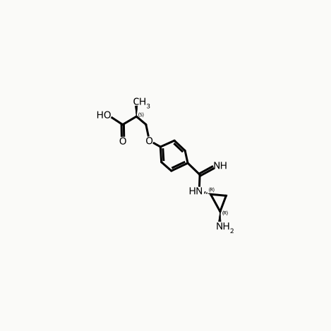 C[C@@H](COc1ccc(C(=N)N[C@@H]2C[C@H]2N)cc1)C(=O)O